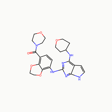 O=C(c1ccc(Nc2nc(NC3CCOCC3)c3cc[nH]c3n2)c2c1OCCO2)N1CCOCC1